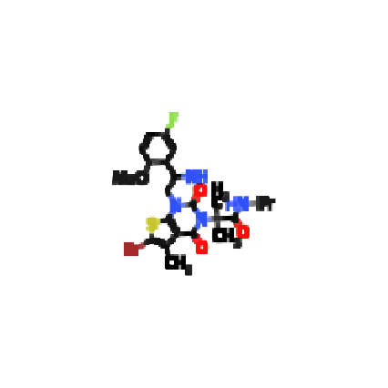 COc1ccc(F)cc1C(=N)Cn1c(=O)n(C(C)(C)C(=O)NC(C)C)c(=O)c2c(C)c(Br)sc21